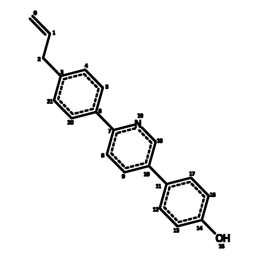 C=CCc1ccc(-c2ccc(-c3ccc(O)cc3)cn2)cc1